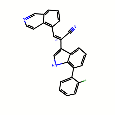 N#C/C(=C\c1cccc2cnccc12)c1c[nH]c2c(-c3ccccc3F)cccc12